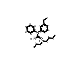 CCCCNCCC.CCc1cccc(N(C(N)=O)c2ccccc2)c1